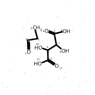 CCC=O.O=C(O)C(O)C(O)C(=O)O